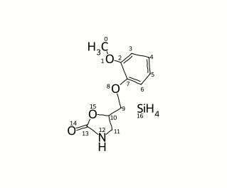 COc1ccccc1OCC1CNC(=O)O1.[SiH4]